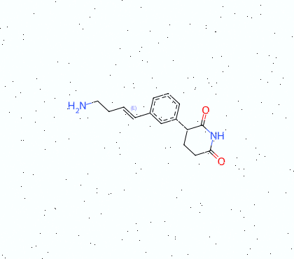 NCC/C=C/c1cccc(C2CCC(=O)NC2=O)c1